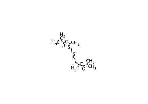 C=C(C)C(=O)OC(C)SCCSCCSC(C)OC(=O)C(=C)C